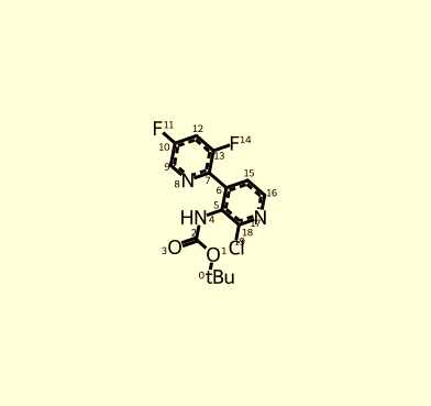 CC(C)(C)OC(=O)Nc1c(-c2ncc(F)cc2F)ccnc1Cl